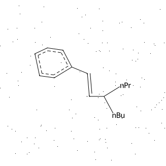 CCCCC([C]=Cc1ccccc1)CCC